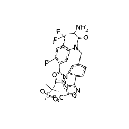 CC(C)(c1nnc(-c2cc3c(cc2F)C(F)(F)CC(N)C(=O)N3Cc2ccc(-c3noc(C(F)(F)F)n3)cc2)o1)S(C)(=O)=O